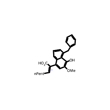 CCCCC/C=C(\C(=O)O)c1cc(OC)c(O)c2c(Cc3ccccc3)cccc12